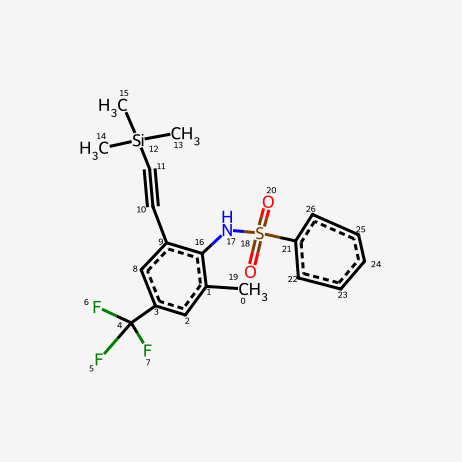 Cc1cc(C(F)(F)F)cc(C#C[Si](C)(C)C)c1NS(=O)(=O)c1ccccc1